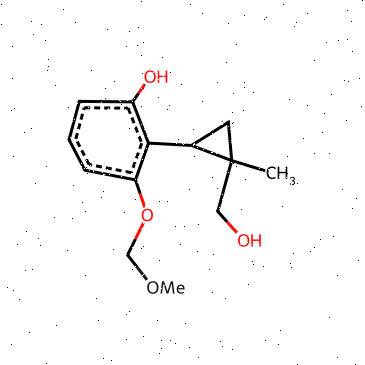 COCOc1cccc(O)c1C1CC1(C)CO